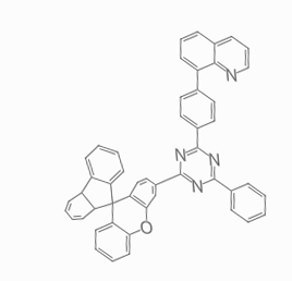 C1=CC2c3ccccc3C3(c4ccccc4Oc4cc(-c5nc(-c6ccccc6)nc(-c6ccc(-c7cccc8cccnc78)cc6)n5)ccc43)C2C=C1